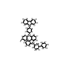 Cc1ccc(N(c2ccc(-n3c4ccccc4c4ccccc43)cc2)c2cccc3c2c2ccccc2n3-c2cccc(-c3ccccc3)n2)cc1